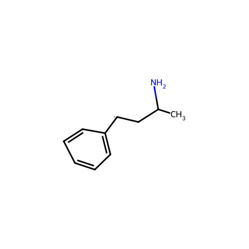 CC(N)C[CH]c1ccccc1